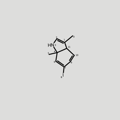 CC1=CNC2(C)C=C(I)C=CC12